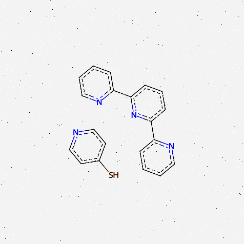 Sc1ccncc1.c1ccc(-c2cccc(-c3ccccn3)n2)nc1